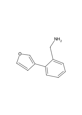 NCc1ccccc1-c1ccoc1